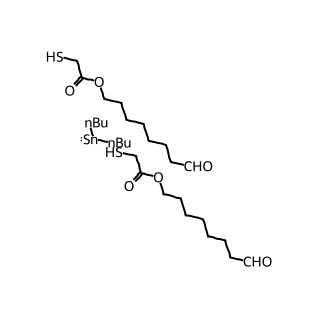 CCC[CH2][Sn][CH2]CCC.O=CCCCCCCCOC(=O)CS.O=CCCCCCCCOC(=O)CS